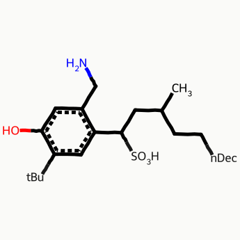 CCCCCCCCCCCCC(C)CC(c1cc(C(C)(C)C)c(O)cc1CN)S(=O)(=O)O